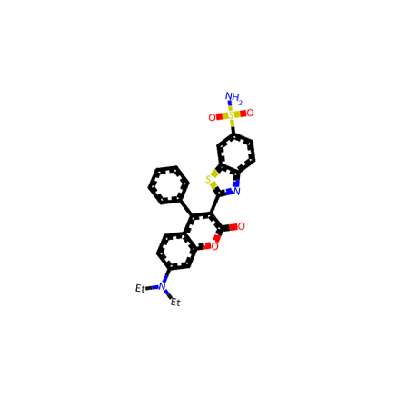 CCN(CC)c1ccc2c(-c3ccccc3)c(-c3nc4ccc(S(N)(=O)=O)cc4s3)c(=O)oc2c1